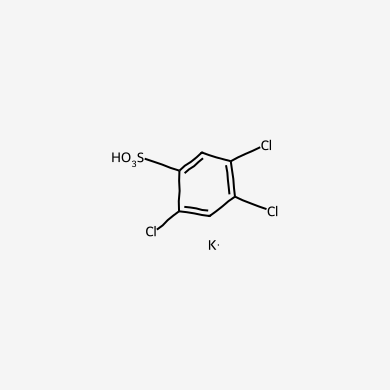 O=S(=O)(O)c1cc(Cl)c(Cl)cc1Cl.[K]